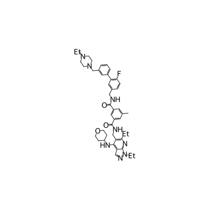 CCc1nc2c(cnn2CC)c(NC2CCOCC2)c1CNC(=O)c1cc(C)cc(C(=O)NCc2ccc(F)c(-c3cccc(CN4CCN(CC)CC4)c3)c2)c1